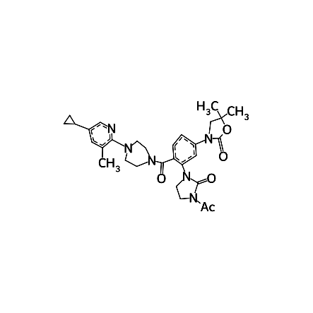 CC(=O)N1CCN(c2cc(N3CC(C)(C)OC3=O)ccc2C(=O)N2CCN(c3ncc(C4CC4)cc3C)CC2)C1=O